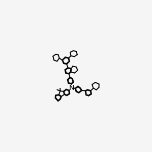 CC1(C)c2ccccc2-c2ccc(N(c3ccc(-c4cccc(C5CCCCC5)c4)cc3)c3ccc(-c4ccc(-c5cc(C6CCCCC6)cc(C6CCCCC6)c5)c5c4CCCC5)cc3)cc21